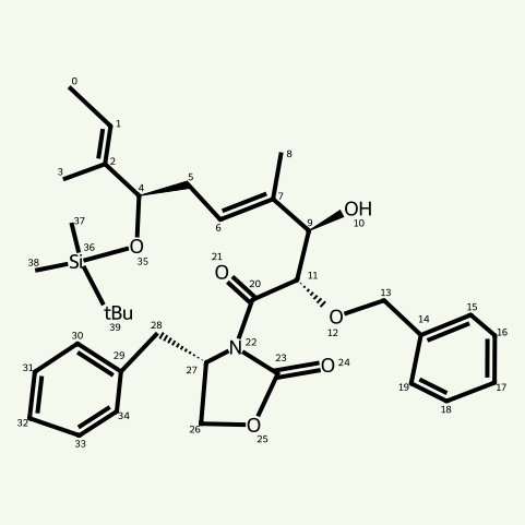 CC=C(C)[C@@H](CC=C(C)[C@@H](O)[C@H](OCc1ccccc1)C(=O)N1C(=O)OC[C@@H]1Cc1ccccc1)O[Si](C)(C)C(C)(C)C